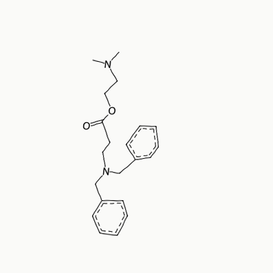 CN(C)CCOC(=O)CCN(Cc1ccccc1)Cc1ccccc1